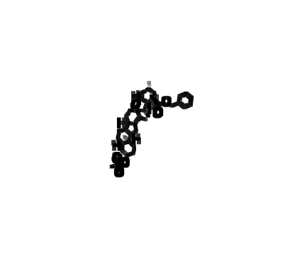 CC1=C2C[C@H]3C(CC[C@@H]4C[C@@H](OS(C)(=O)=O)CCC43C)[C@@H]2CCC12O[C@@H]1C[C@H](C)CN(C(=O)OCc3ccccc3)[C@H]1[C@H]2C